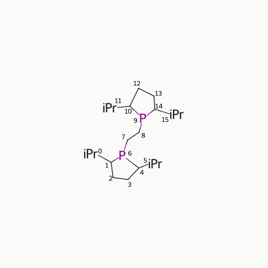 CC(C)C1CCC(C(C)C)P1CCP1C(C(C)C)CCC1C(C)C